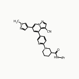 CC(C)NC(=O)C1CCCN(c2ccc(-c3cc(-c4cnn(C)c4)cn4ncc(C#N)c34)cn2)C1